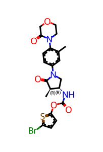 Cc1cc(N2C[C@H](NC(=O)Oc3ccc(Br)s3)[C@@H](C)C2=O)ccc1N1CCOCC1=O